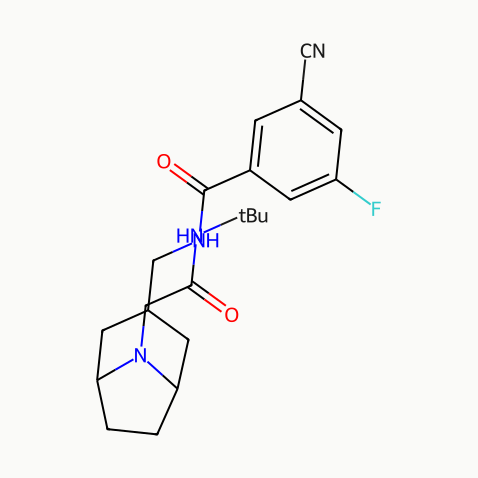 CC(C)(C)NC(=O)CN1C2CCC1CC(CNC(=O)c1cc(F)cc(C#N)c1)C2